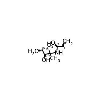 C=CC(=O)NC(C)(C)C(O)CC